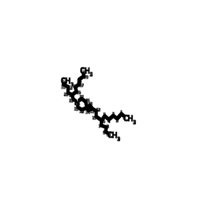 CCCCCCC(CCCC)CCC1CC2(CCN(CC(CCCC)CCCCCC)CC2)C1